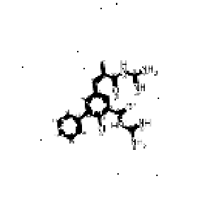 CC(=Cc1cc(C(=O)NC(=N)N)c(Cl)c(-c2ccccc2)c1)C(=O)NC(=N)N